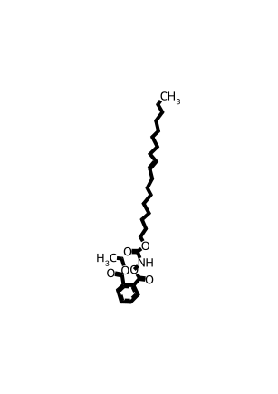 CCCCCCCCC=CCCCCCCCCOC(=O)NOC(=O)c1ccccc1C(=O)OCC